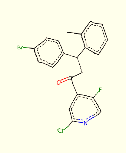 Cc1ccccc1C(CC(=O)c1cc(Cl)ncc1F)c1ccc(Br)cc1